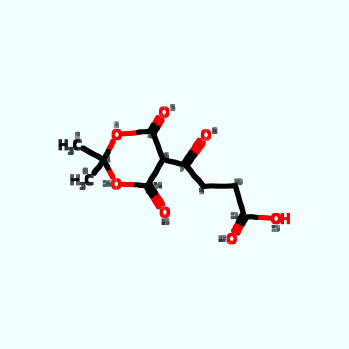 CC1(C)OC(=O)C(C(=O)CCC(=O)O)C(=O)O1